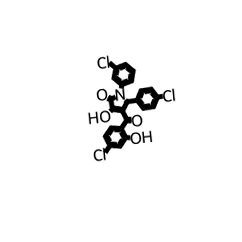 O=C(C1=C(O)C(=O)N(c2cccc(Cl)c2)C1c1ccc(Cl)cc1)c1ccc(Cl)cc1O